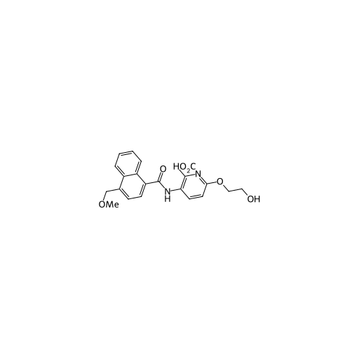 COCc1ccc(C(=O)Nc2ccc(OCCO)nc2C(=O)O)c2ccccc12